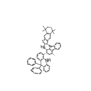 Cc1cc(-c2cccc3c2Nc2ccccc2C3(c2ccccc2)c2ccccc2)c2c3c1c1ccccc1n3-c1c(sc3cc4c(cc13)C(C)(C)CCC4(C)C)B2